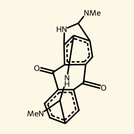 CNC1Nc2c3cc4c(c2NC3NC)C(=O)c2ccc1cc2C4=O